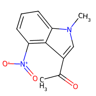 CC(=O)c1cn(C)c2cccc([N+](=O)[O-])c12